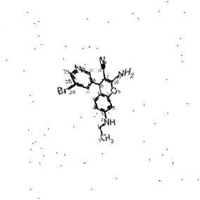 CCNc1ccc2c(c1)OC(N)=C(C#N)C2c1cncc(Br)c1